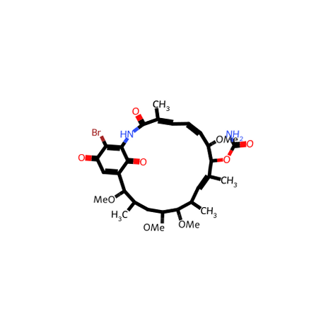 COC1/C=C\C=C(/C)C(=O)NC2=C(Br)C(=O)C=C(C2=O)C(OC)C(C)CC(OC)C(OC)C(C)/C=C(\C)C1OC(N)=O